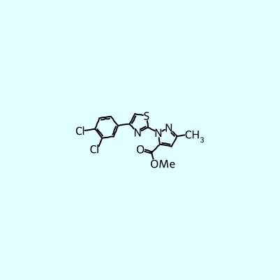 COC(=O)c1cc(C)nn1-c1nc(-c2ccc(Cl)c(Cl)c2)cs1